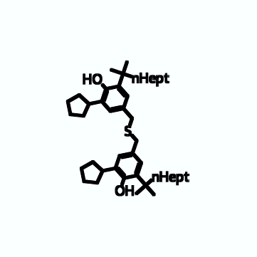 CCCCCCCC(C)(C)c1cc(CSCc2cc(C3CCCC3)c(O)c(C(C)(C)CCCCCCC)c2)cc(C2CCCC2)c1O